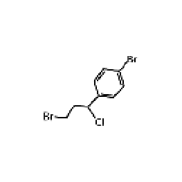 ClC(CCBr)c1ccc(Br)cc1